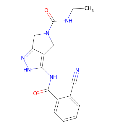 CCNC(=O)N1Cc2n[nH]c(NC(=O)c3ccccc3C#N)c2C1